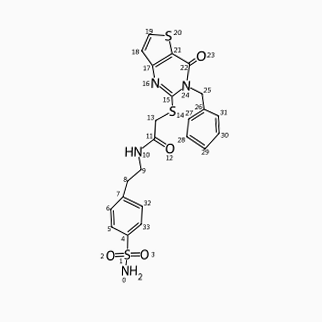 NS(=O)(=O)c1ccc(CCNC(=O)CSc2nc3ccsc3c(=O)n2Cc2ccccc2)cc1